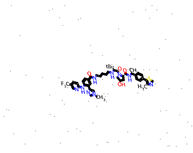 Cc1ncsc1-c1ccc([C@H](C)NC(=O)[C@@H]2C[C@@H](O)CN2C(=O)[C@@H](NCCCCCNC(=O)c2ccc(Nc3ccc(C(F)(F)F)cn3)c(-c3cn(C)cn3)c2)C(C)(C)C)cc1